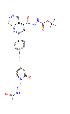 CC(=O)NCCn1ccc(C#Cc2ccc(-c3cc(C(=O)NNC(=O)OC(C)(C)C)c4cnccc4n3)cc2)cc1=O